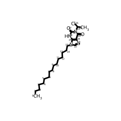 CCCCCCCCCCCCCCCCn1cnc2c(=O)n(C(C)Cl)c(=O)[nH]c21